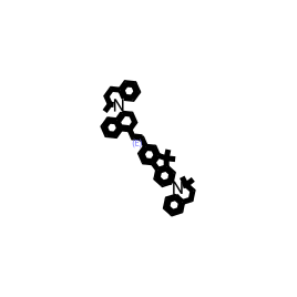 CC1CCc2ccccc2N1C1=c2ccccc2=C(/C=C/c2ccc3c(c2)C(C)(C)c2cc(N4c5ccccc5CCC4(C)C)ccc2-3)CC1